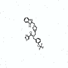 O=C(c1cscn1)N(Cc1cccc(OC(F)(F)F)c1)CC1C2CN(Cc3nc4ccccc4[nH]3)CC21